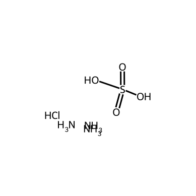 Cl.N.N.N.O=S(=O)(O)O